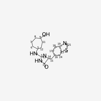 O=C1NC(NC2CCCC(O)CC2)=N/C1=C\c1ccc2ncsc2c1